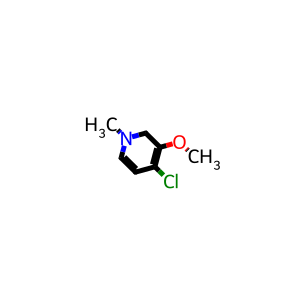 COC1=C(Cl)C=CN(C)C1